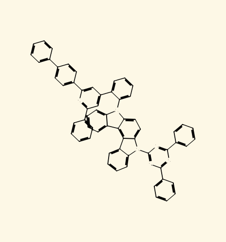 c1ccc(-c2ccc(-c3cc(-c4ccccc4-n4c5ccccc5c5c6c7ccccc7n(-c7nc(-c8ccccc8)nc(-c8ccccc8)n7)c6ccc54)cc(-c4ccccc4)n3)cc2)cc1